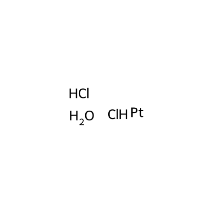 Cl.Cl.O.[Pt]